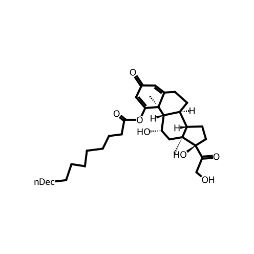 CCCCCCCCCCCCCCCCCC(=O)OC1=CC(=O)C=C2CC[C@@H]3[C@H]([C@@H](O)C[C@@]4(C)[C@H]3CC[C@]4(O)C(=O)CO)[C@]21C